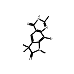 Cc1nc2c(Br)c3c(cc2c(=O)[nH]1)C(C)(C)C(=O)N3C